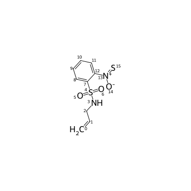 C=CCNS(=O)(=O)c1ccccc1[N+]([O-])=S